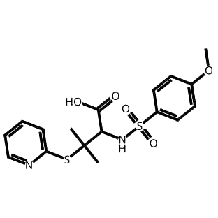 COc1ccc(S(=O)(=O)NC(C(=O)O)C(C)(C)Sc2ccccn2)cc1